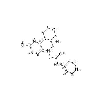 O=C(CN1C[C@@H]2COCCN2c2nc(Cl)ncc21)Nc1ccncc1